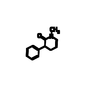 CN1C=CCC(c2ccccc2)C1=O